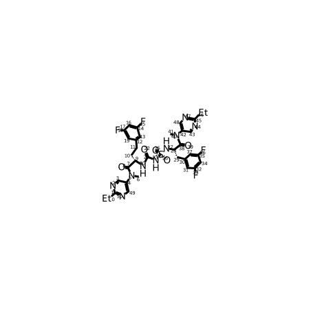 CCc1ncc(N(C)C(=O)[C@H](CCc2cc(F)cc(F)c2)NC(=O)NS(=O)(=O)N[C@@H](Cc2cc(F)cc(F)c2)C(=O)N(C)c2cnc(CC)nc2)cn1